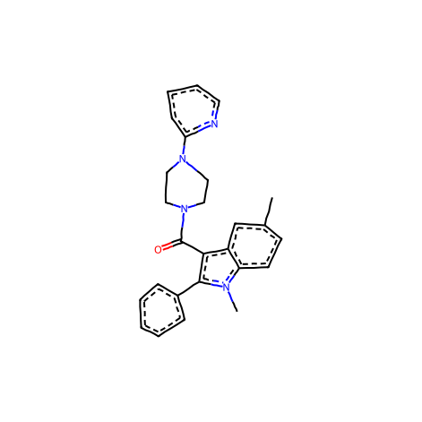 Cc1ccc2c(c1)c(C(=O)N1CCN(c3ccccn3)CC1)c(-c1ccccc1)n2C